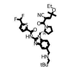 CCOC(C)(C)C=C(C#N)C(=O)N1CCC[C@@H]1Cn1c(NC(=O)c2ccc(C(F)F)s2)nc2cc(CNCC(C)(C)C)ccc21